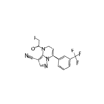 N#Cc1cnn2c1N(C(=O)CI)CC=C2c1cccc(C(F)(F)F)c1